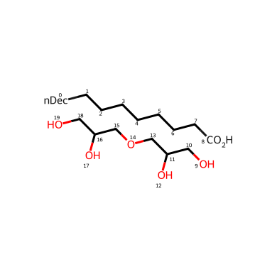 CCCCCCCCCCCCCCCCCC(=O)O.OCC(O)COCC(O)CO